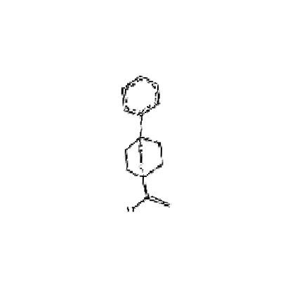 C=C(Cl)C12CCC(c3ccccc3)(CC1)CC2